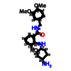 COc1ccc(CNC(=O)c2cccc([N+](=O)[O-])c2N[C@H]2CC[C@H](N)CC2)cc1OC